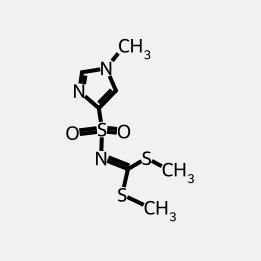 CSC(=NS(=O)(=O)c1cn(C)cn1)SC